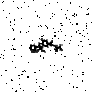 COc1ccccc1N(Cc1ccc(C(=O)NNC(=O)C(F)F)cc1F)S(C)(=O)=O